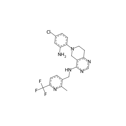 Cc1nc(C(F)(F)F)ccc1CNc1ncnc2c1CN(c1ccc(Cl)cc1N)CC2